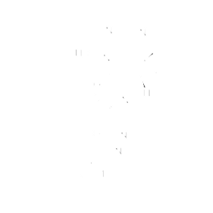 CN1C(=O)[C@@H](NC(=O)c2nnc(C(F)(F)c3ccccc3)o2)[C@H]2C[C@H]2c2nccnc21